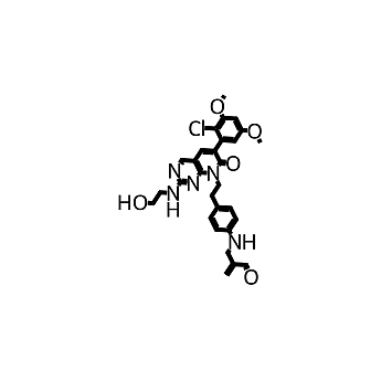 C=C(C=O)CNc1ccc(CCn2c(=O)c(-c3cc(OC)cc(OC)c3Cl)cc3cnc(NCCO)nc32)cc1